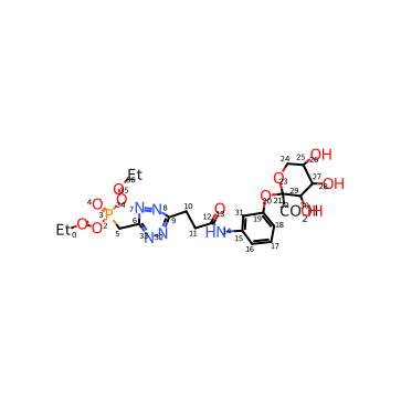 CCOOP(=O)(Cc1nnc(CCC(=O)Nc2cccc(OC3(C(=O)O)OCC(O)C(O)C3O)c2)nn1)OOCC